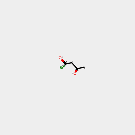 CC(=O)CC(=O)Br